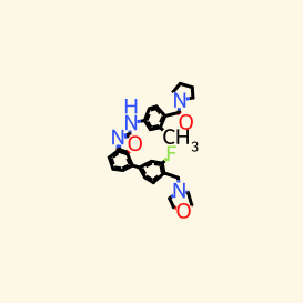 Cc1cc(Nc2nc3cccc(-c4ccc(CN5CCOCC5)c(F)c4)c3o2)ccc1C(=O)N1CCCC1